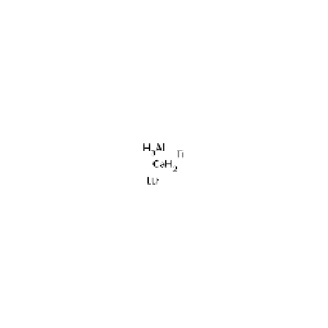 [AlH3].[CaH2].[Lu].[Ti]